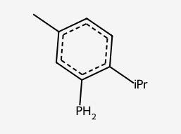 Cc1ccc(C(C)C)c(P)c1